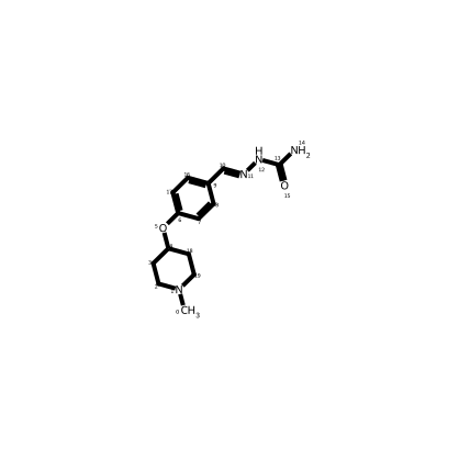 CN1CCC(Oc2ccc(C=NNC(N)=O)cc2)CC1